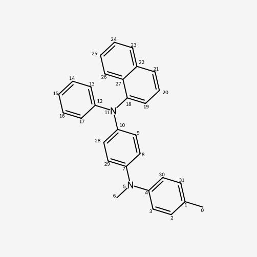 Cc1ccc(N(C)c2ccc(N(c3ccccc3)c3cccc4ccccc34)cc2)cc1